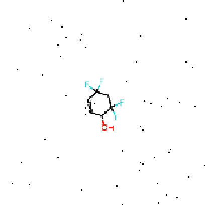 OC1C=CC(F)(F)CC1(F)F